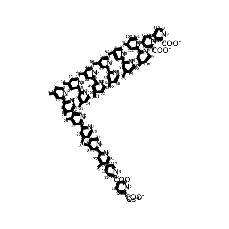 Cc1ccnc(-c2cc(C)ccn2)c1.Cc1ccnc(-c2cc(C)ccn2)c1.Cc1ccnc(-c2cc(C)ccn2)c1.Cc1ccnc(-c2cc(C)ccn2)c1.Cc1ccnc(-c2cc(C)ccn2)c1.Cc1ccnc(-c2cc(C)ccn2)c1.Cc1ccnc(-c2cc(C)ccn2)c1.Cc1ccnc(-c2cc(C)ccn2)c1.O=C([O-])c1ccccn1.O=C([O-])c1ccccn1.O=C([O-])c1ccccn1.O=C([O-])c1ccccn1.[Os+4]